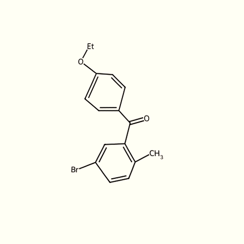 CCOc1ccc(C(=O)c2cc(Br)ccc2C)cc1